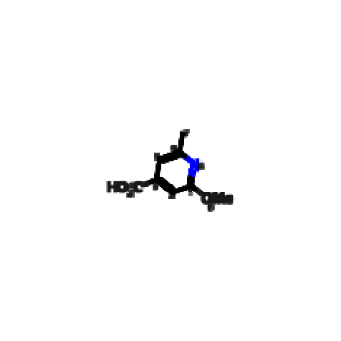 COc1cc(C(=O)O)cc(C)n1